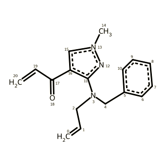 C=CCN(Cc1ccccc1)c1nn(C)cc1C(=O)C=C